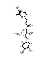 CCOC(=O)C/C(C(=O)/C=C/c1ccc(O)c(C)c1)=C(O)\C=C\c1ccc(O)c(OC)c1